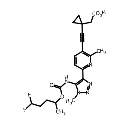 Cc1nc(-c2nnn(C)c2NC(=O)OC(C)CCC(F)F)ccc1C#CC1(CC(=O)O)CC1